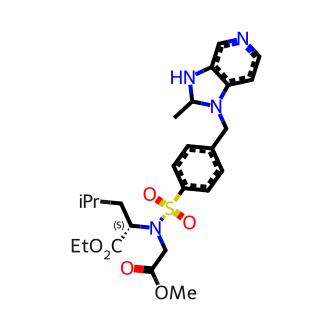 CCOC(=O)[C@H](CC(C)C)N(CC(=O)OC)S(=O)(=O)c1ccc(CN2c3ccncc3NC2C)cc1